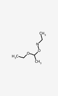 CC[N]OC(C)OCC